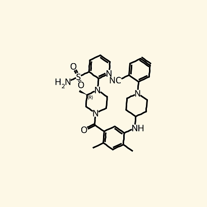 Cc1cc(C)c(C(=O)N2CCN(c3ncccc3S(N)(=O)=O)[C@H](C)C2)cc1NC1CCN(c2cc#ccc2C#N)CC1